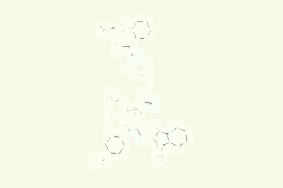 COc1ccccc1C(=O)N1CCC(CCC(=O)N[C@H](Cc2c[nH]c3ccccc23)C(=O)N2C[C@@H](CN(C)C)Cc3cc(Cl)ccc32)CC1